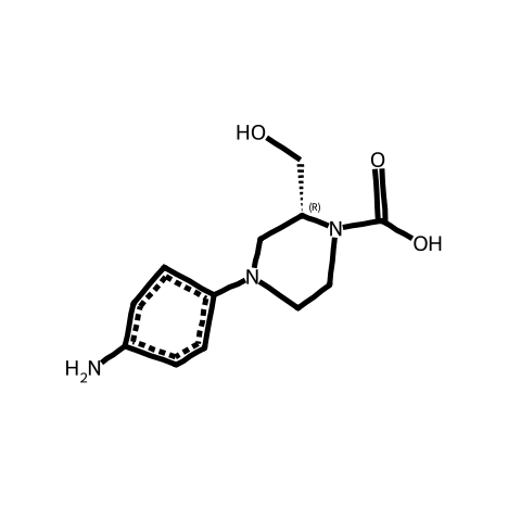 Nc1ccc(N2CCN(C(=O)O)[C@@H](CO)C2)cc1